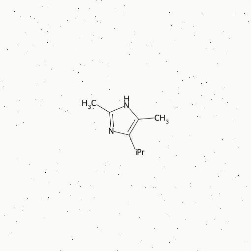 Cc1nc(C(C)C)c(C)[nH]1